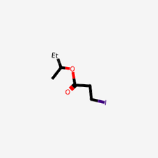 CCC(C)OC(=O)CCI